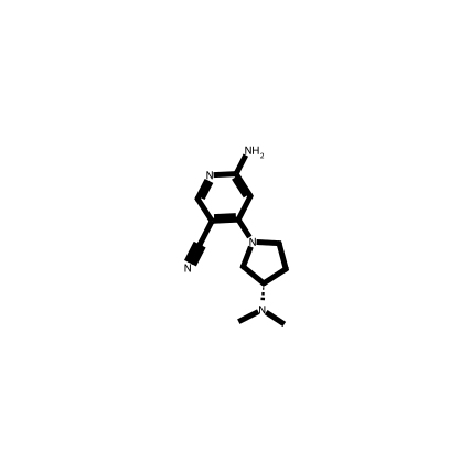 CN(C)[C@H]1CCN(c2cc(N)ncc2C#N)C1